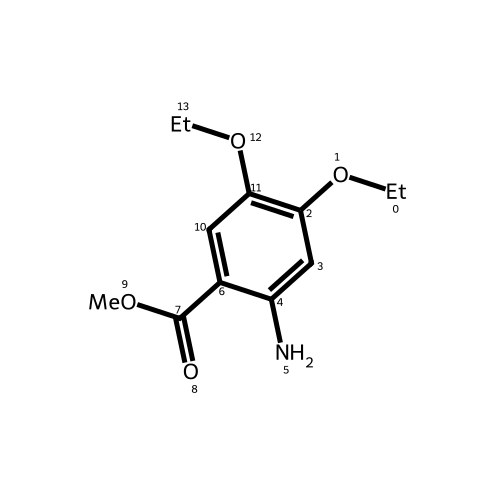 CCOc1cc(N)c(C(=O)OC)cc1OCC